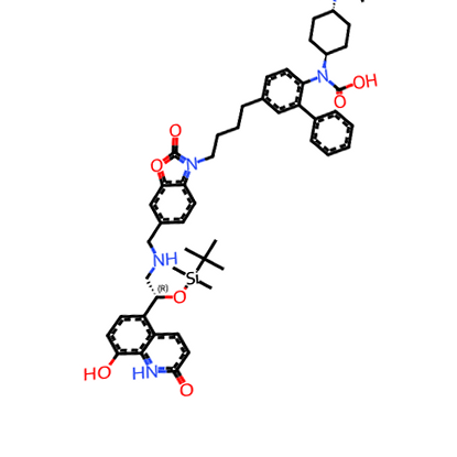 CC(C)(C)N[C@H]1CC[C@H](N(C(=O)O)c2ccc(CCCCn3c(=O)oc4cc(CNC[C@H](O[Si](C)(C)C(C)(C)C)c5ccc(O)c6[nH]c(=O)ccc56)ccc43)cc2-c2ccccc2)CC1